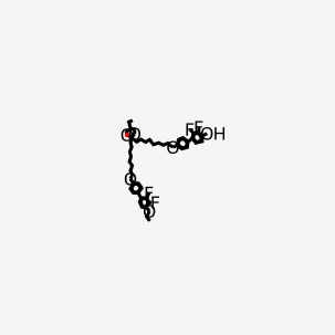 CCOc1ccc(-c2ccc(OCCCCCCCCC3(CCCCCCCCOc4ccc(-c5ccc(O)c(F)c5F)cc4)OCC(CC)CO3)cc2)c(F)c1F